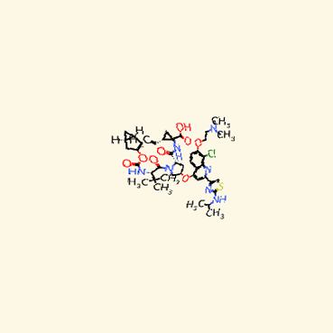 C=C[C@@H]1CC1(NC(=O)[C@@H]1C[C@@H](Oc2cc(-c3csc(NC(C)C)n3)nc3c(Cl)c(OCCN(C)C)ccc23)CN1C(=O)[C@@H](NC(=O)O[C@@H]1C[C@@H]2C[C@@H]2C1)C(C)(C)C)C(=O)O